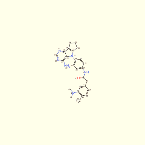 CN(C)c1cc(CC(=O)Nc2ccc(-n3c4c(c5ncnc(N)c53)CCC4)cc2)ccc1C(F)(F)F